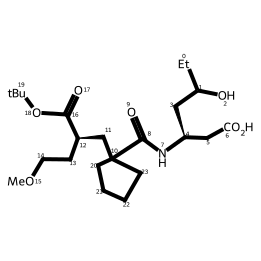 CCC(O)C[C@@H](CC(=O)O)NC(=O)C1(C[C@@H](CCOC)C(=O)OC(C)(C)C)CCCC1